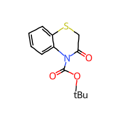 CC(C)(C)OC(=O)N1C(=O)CSc2ccccc21